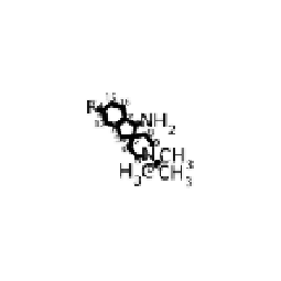 CC(C)(C)N1CCC2(CC1)Cc1cc(F)ccc1[C@H]2N